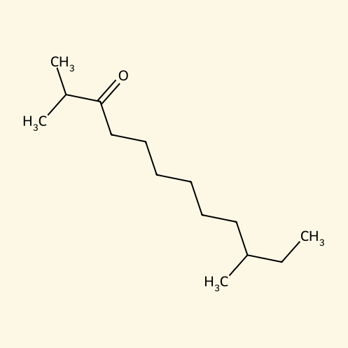 CCC(C)CCCCCCC(=O)C(C)C